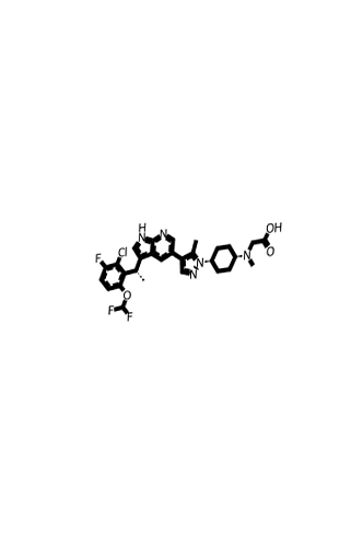 Cc1c(-c2cnc3[nH]cc([C@H](C)c4c(OC(F)F)ccc(F)c4Cl)c3c2)cnn1[C@H]1CC[C@@H](N(C)CC(=O)O)CC1